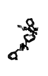 O=C(NCCc1cccnc1)c1ccc(S(=O)(=O)Nc2ccccc2OC(F)(F)F)cc1